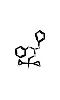 CCC(COB(Oc1ccccc1)Oc1ccccc1)(C1CO1)C1CO1